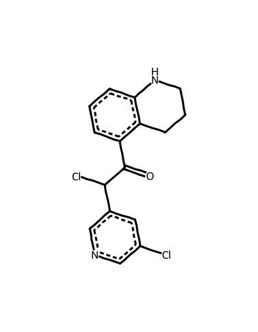 O=C(c1cccc2c1CCCN2)C(Cl)c1cncc(Cl)c1